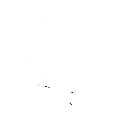 Cc1ccc(S(=O)(=O)O[C@@H]2CO[C@@H]3[C@@H](C)CO[C@@]32C)cc1